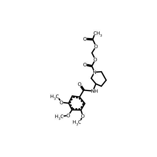 COc1cc(C(=O)NC2CCCN(C(=O)OCOC(C)=O)C2)cc(OC)c1OC